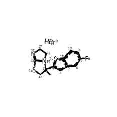 Br.CC1(c2cc3cc(F)ccc3s2)CSC2=NCCN21